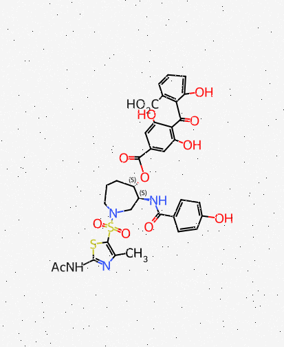 CC(=O)Nc1nc(C)c(S(=O)(=O)N2CCC[C@H](OC(=O)c3cc(O)c(C(=O)c4c(O)cccc4C(=O)O)c(O)c3)[C@@H](NC(=O)c3ccc(O)cc3)C2)s1